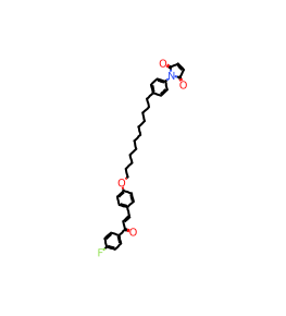 O=C(C=Cc1ccc(OCCCCCCCCCCCCc2ccc(N3C(=O)C=CC3=O)cc2)cc1)c1ccc(F)cc1